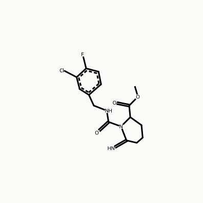 COC(=O)C1CCCC(=N)N1C(=O)NCc1ccc(F)c(Cl)c1